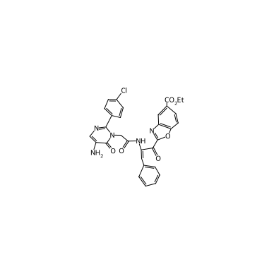 CCOC(=O)c1ccc2oc(C(=O)C(=Cc3ccccc3)NC(=O)Cn3c(-c4ccc(Cl)cc4)ncc(N)c3=O)nc2c1